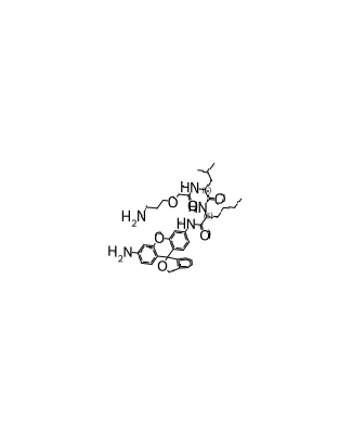 CCCC[C@H](NC(=O)[C@H](CC(C)C)NC(=O)COCCCN)C(=O)Nc1ccc2c(c1)Oc1cc(N)ccc1C21OCc2ccccc21